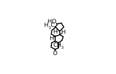 C[C@]12CCC(=O)C=C1CC[C@@H]1[C@H]2CC[C@]2(C)C(O)CC[C@@H]12